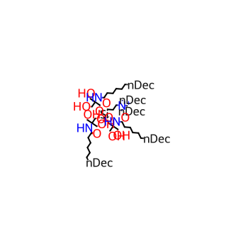 CCCCCCCCCCCCCCCC(=O)NC(CO)(CO)CO[Si](CCC[N+](C)(CCCCCCCCCC)CCCCCCCCCC)(OCC(CO)(CO)NC(=O)CCCCCCCCCCCCCCC)OCC(CO)(CO)NC(=O)CCCCCCCCCCCCCCC